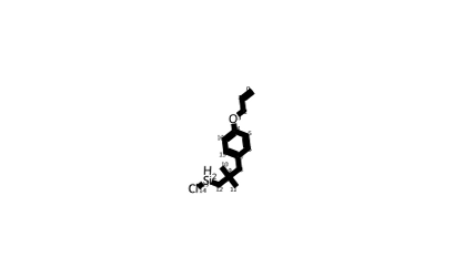 C=CCOc1ccc(CC(C)(C)C[SiH2]Cl)cc1